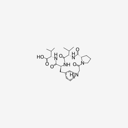 CC(C)[C@H](NC(=O)[C@H](Cc1ccccc1)NC(=O)[C@@H](NC(=O)[C@@H]1CCCN1C(=O)CN)C(C)C)C(=O)O